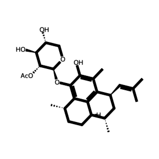 CC(=O)O[C@H]1[C@H](Oc2c(O)c(C)c3c4c2[C@@H](C)CC[C@@H]4[C@@H](C)C[C@@H]3C=C(C)C)OC[C@@H](O)[C@@H]1O